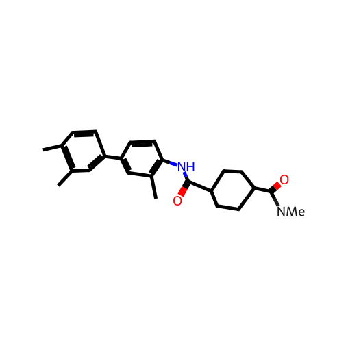 CNC(=O)C1CCC(C(=O)Nc2ccc(-c3ccc(C)c(C)c3)cc2C)CC1